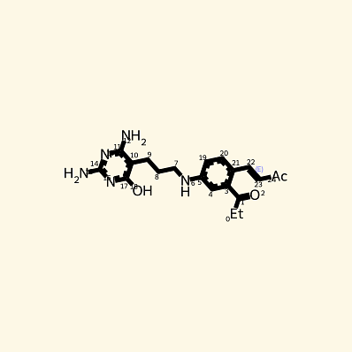 CCC(=O)c1cc(NCCCc2c(N)nc(N)nc2O)ccc1/C=C/C(C)=O